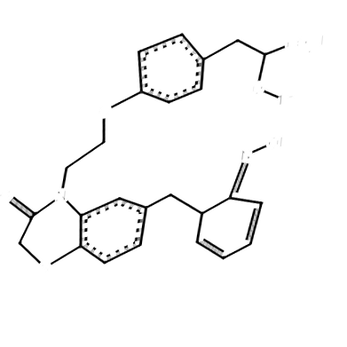 CCOC(Cc1ccc(OCCN2C(=O)CSc3ccc(CC4C=CC=CC4=NO)cc32)cc1)C(=O)O